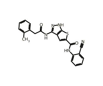 Cc1ccccc1CC(=O)Nc1n[nH]c2sc(C(=O)Nc3ccccc3C#N)cc12